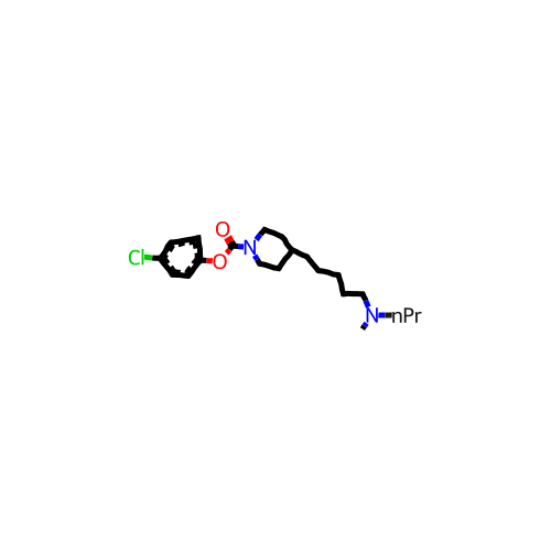 CCCN(C)CCCCCC1CCN(C(=O)Oc2ccc(Cl)cc2)CC1